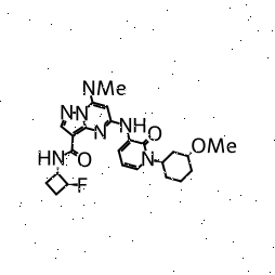 CNc1cc(Nc2cccn([C@@H]3CCC[C@@H](OC)C3)c2=O)nc2c(C(=O)N[C@H]3CC[C@@H]3F)cnn12